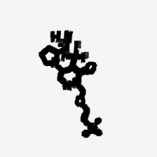 C[Si](C)(C)CCOCn1ncc(N2CCC[C@H]2CN)c(C(F)(F)F)c1=O